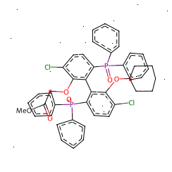 COC(=O)COc1c(Cl)ccc(P(=O)(c2ccccc2)c2ccccc2)c1-c1c(P(=O)(c2ccccc2)c2ccccc2)ccc(Cl)c1OC1CCCCC1